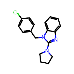 Clc1ccc(Cn2c(N3CCCC3)nc3ccccc32)cc1